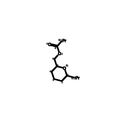 CCCC1CCCC(COC(=O)C(C)C)O1